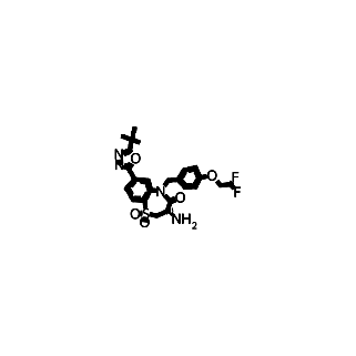 CC(C)(C)c1nnc(-c2ccc3c(c2)N(Cc2ccc(OCC(F)F)cc2)C(=O)[C@@H](N)CS3(=O)=O)o1